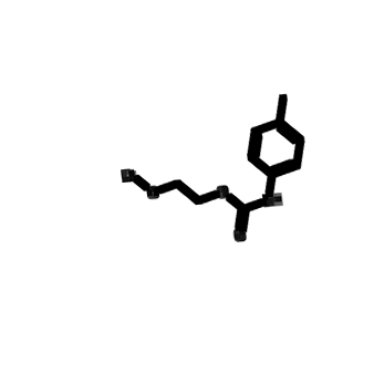 CCOCCOC(=O)Nc1ccc(C)cc1